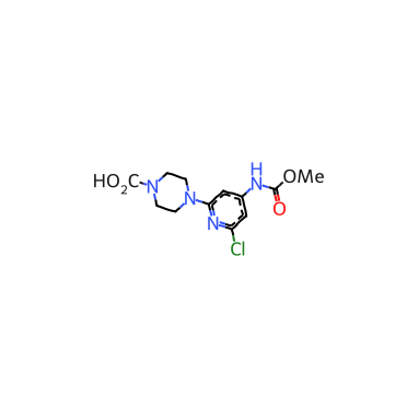 COC(=O)Nc1cc(Cl)nc(N2CCN(C(=O)O)CC2)c1